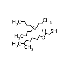 CC(C)CCCCCOC(=O)CS.CCC[CH2][Sn]([CH2]CCC)[CH2]CCC